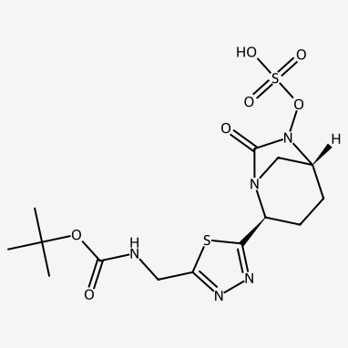 CC(C)(C)OC(=O)NCc1nnc([C@@H]2CC[C@@H]3CN2C(=O)N3OS(=O)(=O)O)s1